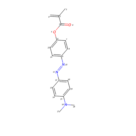 C=C(C)C(=O)Oc1ccc(N=Nc2ccc(N(C)C)cc2)cc1